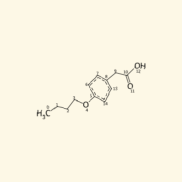 CCCCOc1ccc(CC(=O)O)cc1